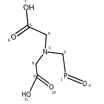 O=PCN(CC(=O)O)CC(=O)O